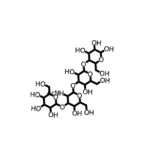 CC(=O)NC1C(OC2C(O)C(CO)OC(OC3C(CO)OC(O)C(O)C3O)C2O)OC(CO)C(O)C1OC1OC(CO)C(O)C(O)C1O